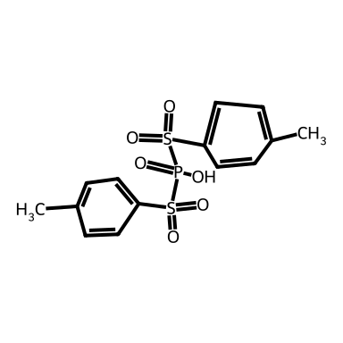 Cc1ccc(S(=O)(=O)P(=O)(O)S(=O)(=O)c2ccc(C)cc2)cc1